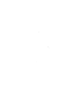 CC(=O)OOc1c(C)cc(Br)cc1[N+](=O)[O-]